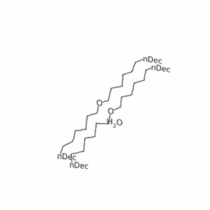 CCCCCCCCCCCCCCCCOCCCCCCCCCCCCCCCC.CCCCCCCCCCCCCCCCOCCCCCCCCCCCCCCCC.O